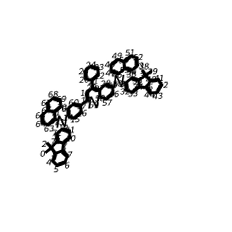 CC1(C)c2ccccc2-c2ccc(N(c3ccc(-c4cc(-c5ccccc5)c5cc(N(c6ccc7c(c6)C(C)(C)c6ccccc6-7)c6cccc7ccccc67)ccc5n4)cc3)c3cccc4ccccc34)cc21